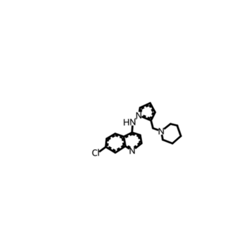 Clc1ccc2c(Nn3cccc3CN3CCCCC3)ccnc2c1